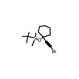 CC(C)(C)[Si](C)(C)OC1(C#CBr)CCCCC1